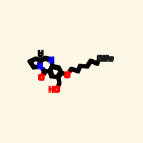 COCCCCCCOc1cc2c(cc1CO)C(=O)N1CCC[C@H]1C=N2